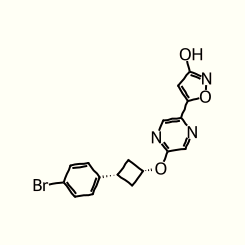 Oc1cc(-c2cnc(O[C@H]3C[C@@H](c4ccc(Br)cc4)C3)cn2)on1